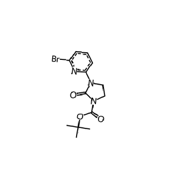 CC(C)(C)OC(=O)N1CCN(c2cccc(Br)n2)C1=O